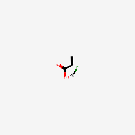 C=CC(=O)O.[F][Ag]